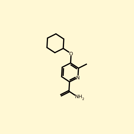 C=C(N)c1ccc(OC2CCCCC2)c(C)n1